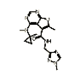 Cc1oc2ncnc(N(C)C3(C)CC3)c2c1C(=O)NCc1ncn(C)n1